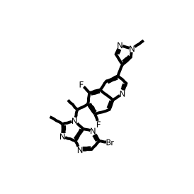 Cc1nc2ncc(Br)nc2n1C(C)c1c(F)cc2ncc(-c3cnn(C)c3)cc2c1F